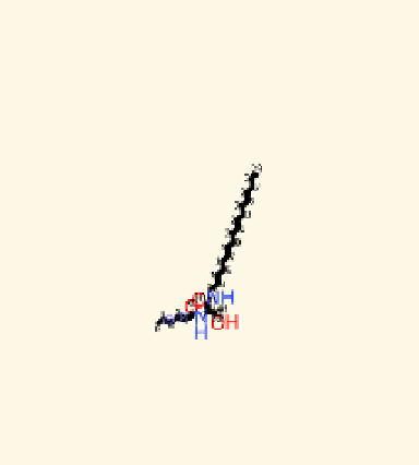 C/C=C/C=C/C(=O)N[C@H](C(=O)NCCCCCCCCCCCCCCCCCC)[C@H](C)O